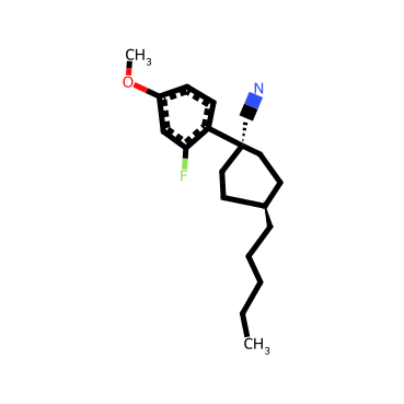 CCCCC[C@H]1CC[C@@](C#N)(c2ccc(OC)cc2F)CC1